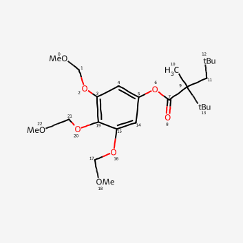 COCOc1cc(OC(=O)C(C)(CC(C)(C)C)C(C)(C)C)cc(OCOC)c1OCOC